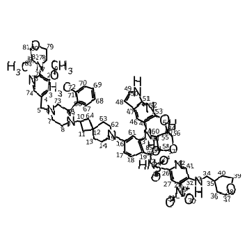 COc1cc(CN2CCN(C3CC4(CCN(c5ccc(C(=O)NS(=O)(=O)c6cc([N+](=O)[O-])c(NCC7CCOCC7)cn6)c(N6c7cc8cc[nH]c8nc7O[C@H]7COCC[C@@H]76)c5)CC4)C3)[C@H](c3ccccc3C)C2)cnc1N1CCOC[C@H]1C